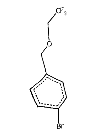 FC(F)(F)COCc1ccc(Br)cc1